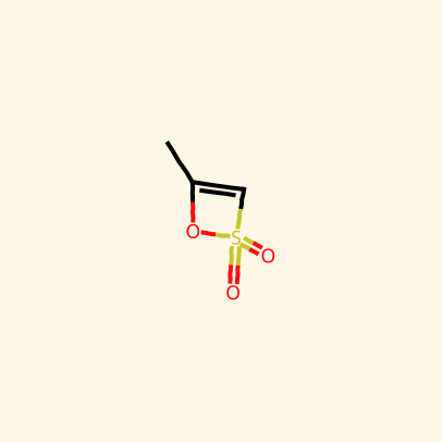 CC1=CS(=O)(=O)O1